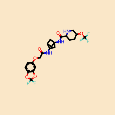 O=C(COc1ccc2c(c1)OC(F)(F)O2)NC1CC2(NC(=O)C3CCC(OC(F)(F)F)CN3)CC1C2